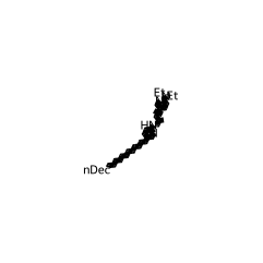 CCCCCCCCCCCCCCCCCCCCCCc1ccc(NCC(C)CC(C)(C)c2ccc(N(CC)CC)nc2)nc1